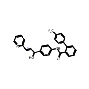 O=C(Nc1ccc(C(O)/C=C/c2ccccn2)cc1)c1ccccc1-c1ccc(C(F)(F)F)cc1